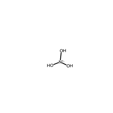 O[N+](O)O